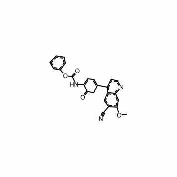 COc1cc2nccc(C3=CC=C(NC(=O)Oc4ccccc4)C(=O)C3)c2cc1C#N